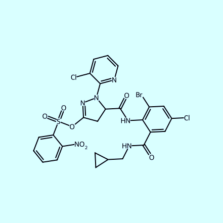 O=C(NCC1CC1)c1cc(Cl)cc(Br)c1NC(=O)C1CC(OS(=O)(=O)c2ccccc2[N+](=O)[O-])=NN1c1ncccc1Cl